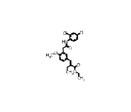 CCOC(=O)/C(=C/c1ccc(OC)c(CC(=O)Nc2ccc(Cl)cc2Cl)c1)CC